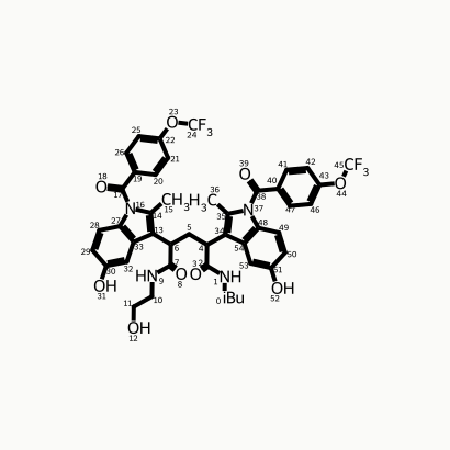 CCC(C)NC(=O)C(CC(C(=O)NCCO)c1c(C)n(C(=O)c2ccc(OC(F)(F)F)cc2)c2ccc(O)cc12)c1c(C)n(C(=O)c2ccc(OC(F)(F)F)cc2)c2ccc(O)cc12